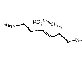 CC(=O)O.CCCCCCCCCC=CCCO